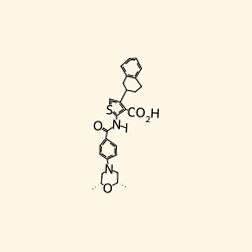 C[C@@H]1CN(c2ccc(C(=O)N(I)c3scc(C4CCc5ccccc5C4)c3C(=O)O)cc2)C[C@H](C)O1